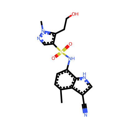 Cc1ccc(NS(=O)(=O)c2cnn(C)c2CCO)c2[nH]cc(C#N)c12